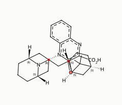 CC1(C)[C@H]2CC[C@@H](CCN3[C@@H]4CCC[C@H]3C[C@@H](n3c(=O)c(C(=O)O)nc5ccccc53)C4)[C@@H]1C2